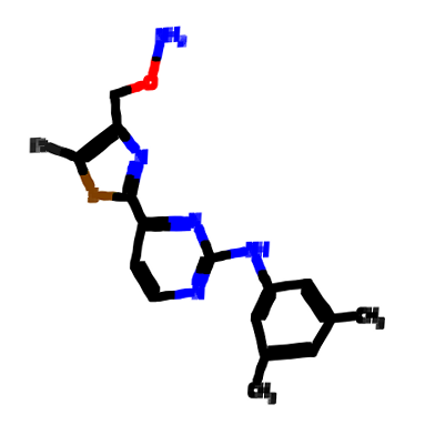 CCc1sc(-c2ccnc(Nc3cc(C)cc(C)c3)n2)nc1CON